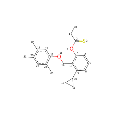 CCC(=S)Oc1cccc(C2CC2)c1COc1cc(C)c(C)cc1C